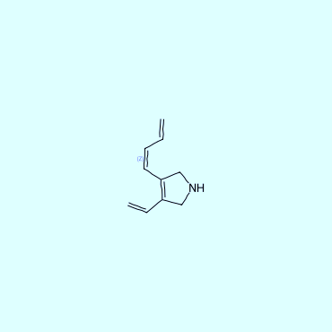 C=C/C=C\C1=C(C=C)CNC1